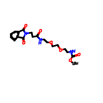 CC(C)(C)OC(=O)NCCOCCOCCNC(=O)CCN1C(=O)c2ccccc2C1=O